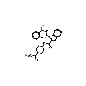 CCc1ccccc1N(CC)C(=O)Cn1c(C(=O)NC2CCC(C(=O)OC)CC2)cc2ccccc21